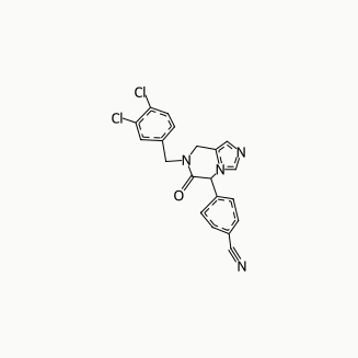 N#Cc1ccc(C2C(=O)N(Cc3ccc(Cl)c(Cl)c3)Cc3cncn32)cc1